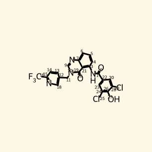 O=C(Nc1cccc2ncn(Cc3ccc(C(F)(F)F)nc3)c(=O)c12)c1cc(Cl)c(O)c(Cl)c1